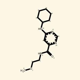 COCCNC(=O)c1cc(NC2CCCCC2)ncn1